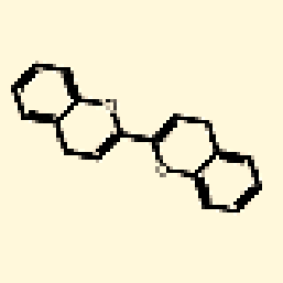 [C]1=C(C2=CCc3ccccc3O2)Oc2ccccc2C1